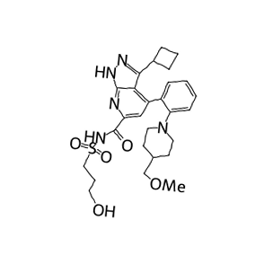 COCC1CCN(c2ccccc2-c2cc(C(=O)NS(=O)(=O)CCCO)nc3[nH]nc(C4CCC4)c23)CC1